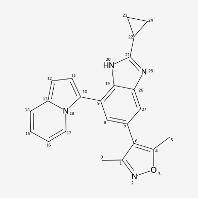 Cc1noc(C)c1-c1cc(-c2ccc3ccccn23)c2[nH]c(C3CC3)nc2c1